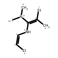 CC/C=C\N/C(=C(\C)CC)N(C)I